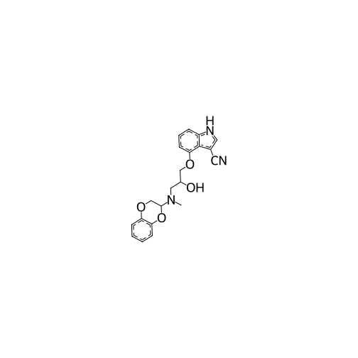 CN(CC(O)COc1cccc2[nH]cc(C#N)c12)C1COc2ccccc2O1